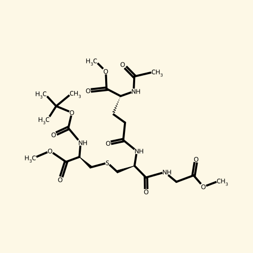 COC(=O)CNC(=O)[C@@H](CSC[C@H](NC(=O)OC(C)(C)C)C(=O)OC)NC(=O)CC[C@@H](NC(C)=O)C(=O)OC